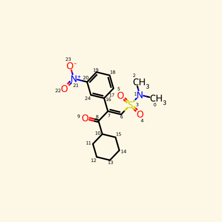 CN(C)S(=O)(=O)C=C(C(=O)C1CCCCC1)c1cccc([N+](=O)[O-])c1